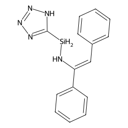 C(=C(N[SiH2]c1nnn[nH]1)c1ccccc1)c1ccccc1